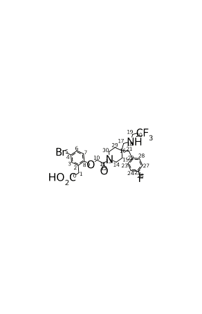 O=C(O)Cc1cc(Br)ccc1OCC(=O)N1CCC(CNCC(F)(F)F)(Cc2ccc(F)cc2)CC1